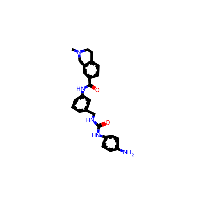 CN1CCc2ccc(C(=O)Nc3cccc(CNC(=O)Nc4ccc(N)cc4)c3)cc2C1